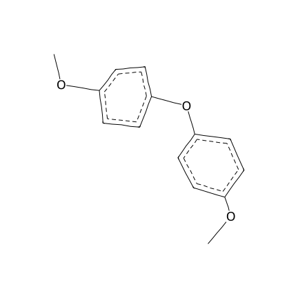 COc1ccc(Oc2ccc(OC)cc2)cc1